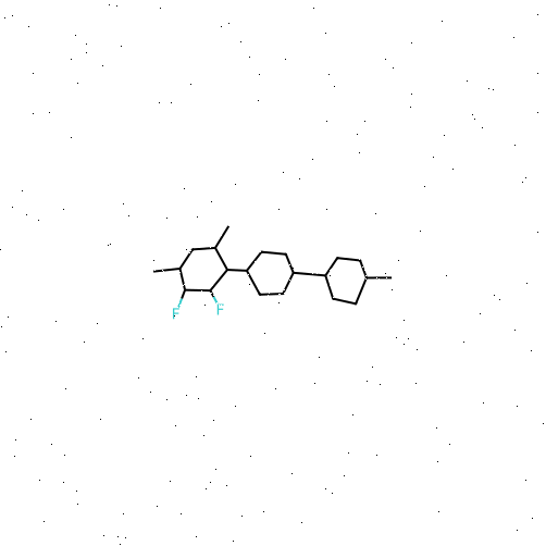 CC1CCC(C2CCC(C3C(C)CC(C)C(F)C3F)CC2)CC1